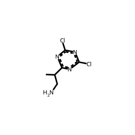 CC(CN)c1nc(Cl)nc(Cl)n1